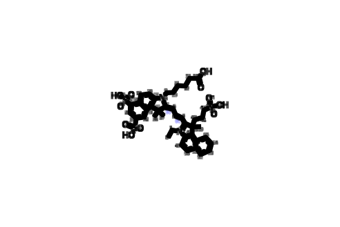 CC[N+]1=C(/C=C/C=C2/N(CCCCCC(=O)O)c3ccc4c(S(=O)(=O)O)cc(S(=O)(=O)O)cc4c3C2(C)C)C(C)(CCCS(=O)(=O)O)c2c1ccc1ccccc21